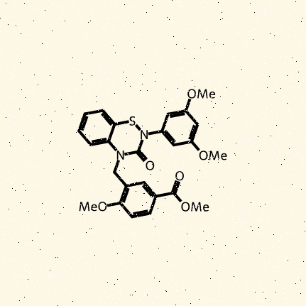 COC(=O)c1ccc(OC)c(CN2C(=O)N(c3cc(OC)cc(OC)c3)Sc3ccccc32)c1